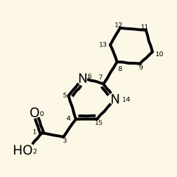 O=C(O)Cc1cnc(C2CCCCC2)nc1